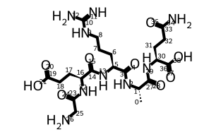 C[C@H](NC(=O)[C@H](CCCNC(=N)N)NC(=O)[C@H](CCC(=O)O)NC(=O)CN)C(=O)N[C@@H](CCC(N)=O)C(=O)O